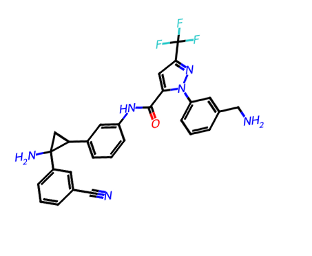 N#Cc1cccc(C2(N)CC2c2cccc(NC(=O)c3cc(C(F)(F)F)nn3-c3cccc(CN)c3)c2)c1